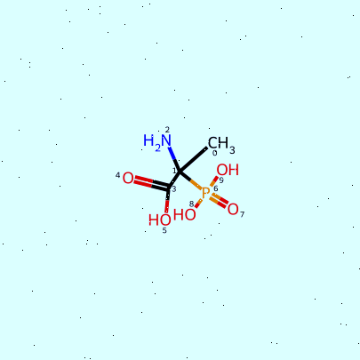 CC(N)(C(=O)O)P(=O)(O)O